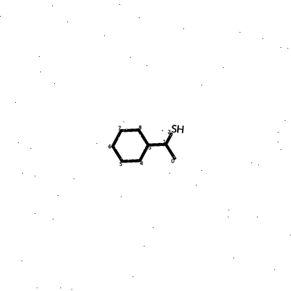 C[C](S)C1CCCCC1